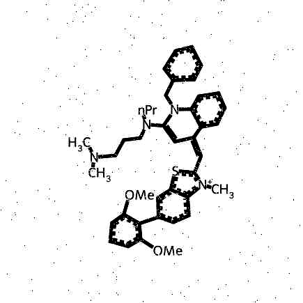 CCCN(CCCN(C)C)C1=CC(=Cc2sc3cc(-c4c(OC)cccc4OC)ccc3[n+]2C)c2ccccc2N1Cc1ccccc1